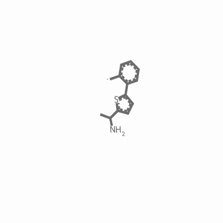 [CH2]c1ccccc1-c1ccc(C(C)N)s1